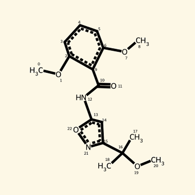 COc1cccc(OC)c1C(=O)Nc1cc(C(C)(C)OC)no1